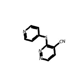 N#Cc1ccnnc1Sc1ccncc1